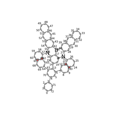 c1ccc(-c2cc(-c3ccccc3)c(-c3cc4c5c(c3)N(c3ccccc3)c3cc6cc7ccccc7cc6cc3B5c3cc5cc6ccccc6cc5cc3N4c3ccccc3)c(-c3ccccc3)c2)cc1